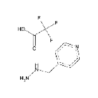 NNCc1ccncc1.O=C(O)C(F)(F)F